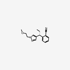 CC[C@@H](c1cnn(CCOC)c1)c1ccccc1C#N